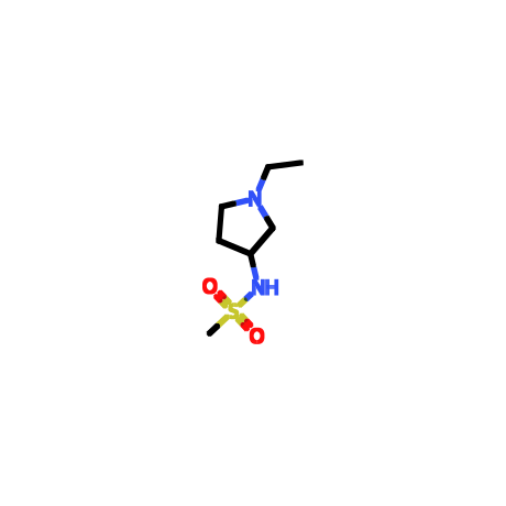 CCN1CCC(NS(C)(=O)=O)C1